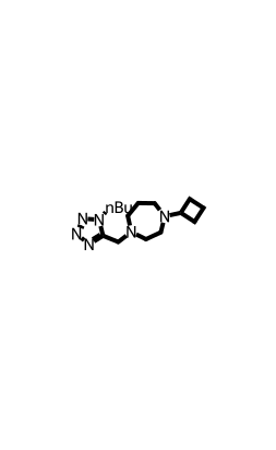 CCCCn1nnnc1CN1CCCN(C2CCC2)CC1